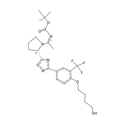 C/C(=N/C(=O)OC(C)(C)C)N1CCC[C@H]1c1nc(-c2ccc(OCCCCO)c(C(F)(F)F)c2)no1